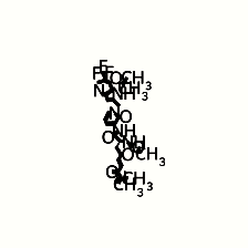 COC(=O)N[C@@H](CC/C=C/C(=O)N(C)C)C(=O)Nc1cccn(Cc2cc3ncc(C(F)(F)F)c(OC(C)C)c3[nH]2)c1=O